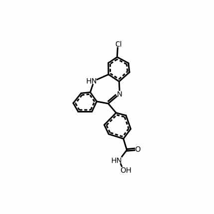 O=C(NO)c1ccc(C2=Nc3ccc(Cl)cc3Nc3ccccc32)cc1